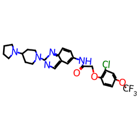 O=C(COc1ccc(OC(F)(F)F)cc1Cl)Nc1ccc2nc(N3CCC(N4CCCC4)CC3)ncc2c1